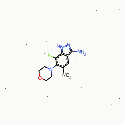 Nc1n[nH]c2c(F)c(N3CCOCC3)c([N+](=O)[O-])cc12